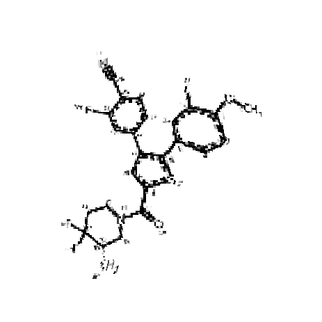 COc1ccc(-c2sc(C(=O)N3CCC(F)(F)[C@@H](N)C3)cc2-c2ccc(C#N)c(F)c2)cc1F